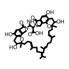 CC(C)=CCC/C(C)=C/CCC1(C)Oc2c(c(O)cc3c2CN(C(N)C(C(=O)O)N2Cc4c(cc(O)c5c4OC(C)(CC/C=C(\C)CCC=C(C)C)C(O)C5)C2=O)C3=O)CC1O